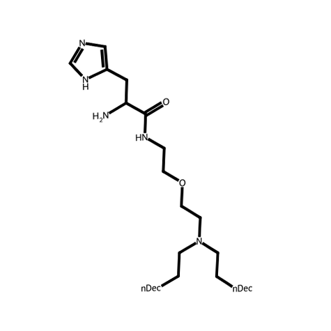 CCCCCCCCCCCCN(CCCCCCCCCCCC)CCOCCNC(=O)C(N)Cc1cnc[nH]1